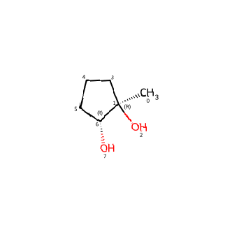 C[C@@]1(O)CCC[C@H]1O